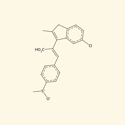 CC1=C(C(=Cc2ccc([S+](C)[O-])cc2)C(=O)O)c2cc(Cl)ccc2C1